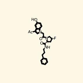 CC(=O)c1cn(CC(=O)N2C[C@H](F)C[C@H]2C(=O)NCCCc2ccccc2)c2ccc(O)cc12